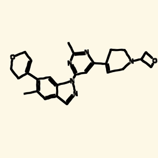 Cc1nc(C2=CCN(C3COC3)CC2)cc(-n2ncc3cc(C)c(C4=CCOCC4)cc32)n1